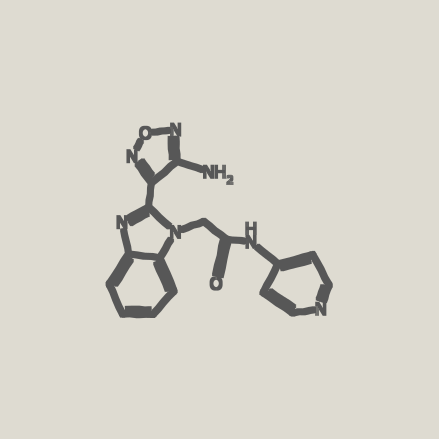 Nc1nonc1-c1nc2ccccc2n1CC(=O)Nc1ccncc1